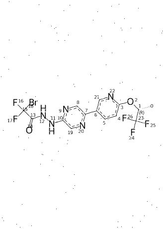 C[C@@H](Oc1ccc(-c2cnc(NNC(=O)C(F)(F)Br)cn2)cn1)C(F)(F)F